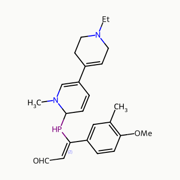 CCN1CC=C(C2=CN(C)C(P/C(=C\C=O)c3ccc(OC)c(C)c3)C=C2)CC1